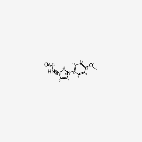 COc1ccc(N2C=CN(NC=O)C2)cc1